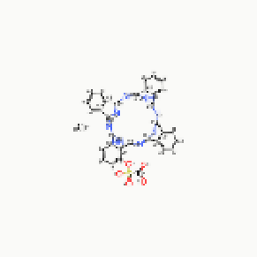 [Co].[O]=[Ti](=[O])[S](=O)(=O)Oc1cccc2c3nc4nc(nc5[nH]c(nc6nc(nc([nH]3)c12)-c1ccccc1-6)c1ccccc51)-c1ccccc1-4